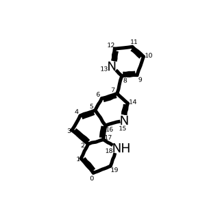 C1=Cc2ccc3cc(-c4ccccn4)cnc3c2NC1